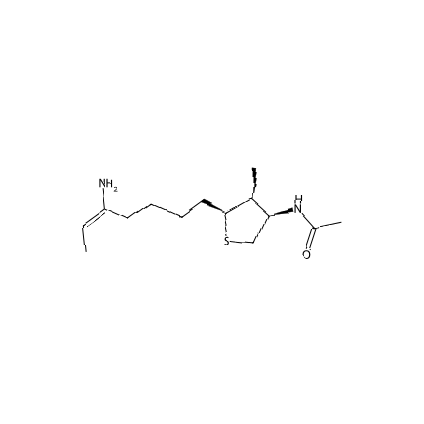 C/C=C(/N)CCCC[C@@H]1SC[C@H](NC(C)=O)[C@@H]1C